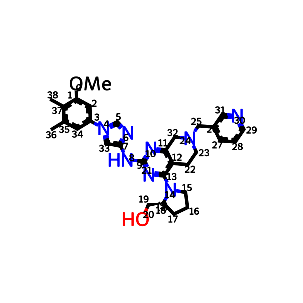 COc1cc(-n2cnc(Nc3nc4c(c(N5CCC[C@H]5CO)n3)CCN(Cc3cccnc3)C4)c2)cc(C)c1C